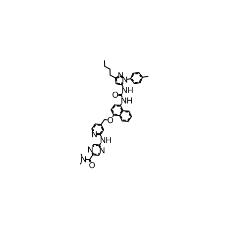 CCCCc1cc(NC(=O)Nc2ccc(OCc3ccnc(Nc4cnc(C(=O)N(C)C)cn4)c3)c3ccccc23)n(-c2ccc(C)cc2)n1